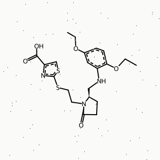 CCOc1ccc(OCC)c(NC[C@H]2CCC(=O)N2CCSc2nc(C(=O)O)cs2)c1